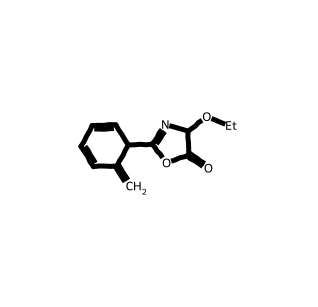 C=C1C=CC=CC1C1=NC(OCC)C(=O)O1